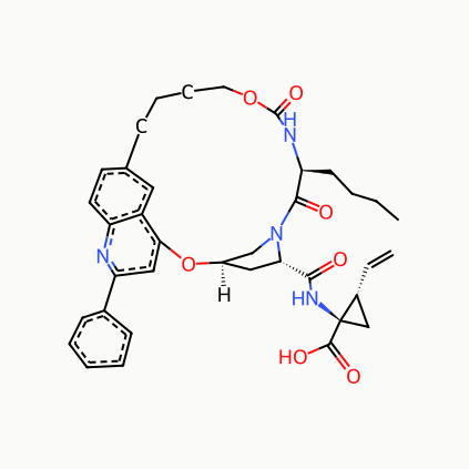 C=C[C@@H]1C[C@]1(NC(=O)[C@@H]1C[C@@H]2CN1C(=O)[C@H](CCCC)NC(=O)OCCCCc1ccc3nc(-c4ccccc4)cc(c3c1)O2)C(=O)O